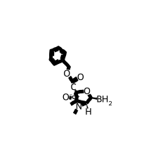 B[C@@H]1O[C@]2(CC(=O)OCc3ccccc3)C(C)[C@@H]1N(C)[S+]2[O-]